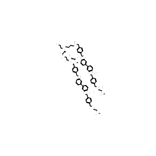 C[C@@H](C(=O)N(C)[C@@H](C)C(=O)N(C)[C@@H](C)C(=O)N(CCCCN(C)C(=O)c1ccc(-c2nc3cc(-c4ccc5[nH]c(-c6ccc(C(=O)NCCN(C)C)cc6)nc5c4)ccc3[nH]2)cc1)CC(N)=O)N(C)C(=O)c1ccc(-c2nc3cc(-c4ccc5[nH]c(-c6ccc(C(=O)NCCN(C)C)cc6)nc5c4)ccc3[nH]2)cc1